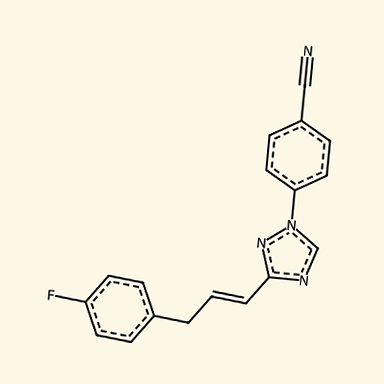 N#Cc1ccc(-n2cnc(C=CCc3ccc(F)cc3)n2)cc1